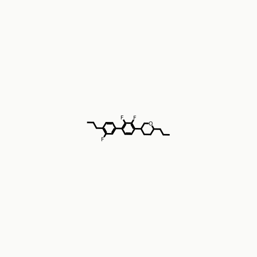 CCCc1ccc(-c2ccc(C3CCC(CCC)OC3)c(F)c2F)cc1F